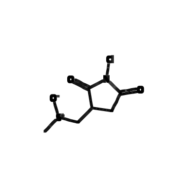 C[S+]([O-])CC1CC(=O)N(Cl)C1=O